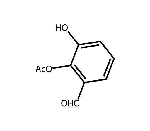 CC(=O)Oc1c(O)cccc1C=O